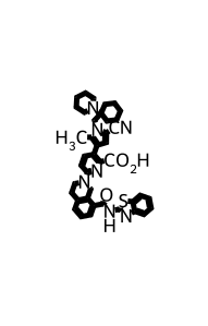 Cc1c(-c2ccc(N3CCc4cccc(C(=O)Nc5nc6ccccc6s5)c4C3)nc2C(=O)O)cc(C#N)n1CC1(N2CCCCC2)CCCCC1